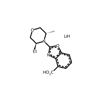 CC[C@H]1COC[C@H](C)N1c1nc2c(C(=O)O)cccc2o1.[LiH]